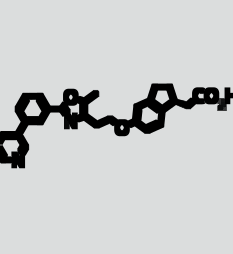 Cc1oc(-c2cccc(-c3cccnc3)c2)nc1CCOc1ccc2c(c1)CC[C@H]2CC(=O)O